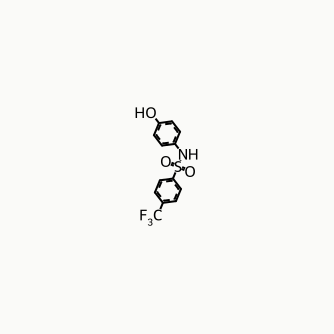 O=S(=O)(Nc1ccc(O)cc1)c1ccc(C(F)(F)F)cc1